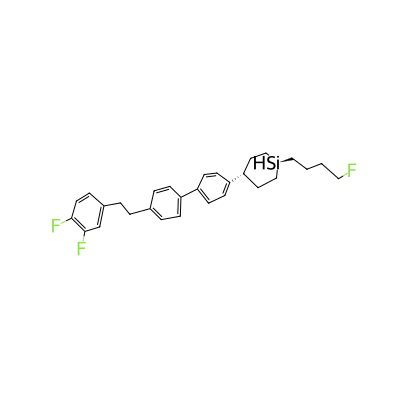 FCCCC[Si@H]1CC[C@H](c2ccc(-c3ccc(CCc4ccc(F)c(F)c4)cc3)cc2)CC1